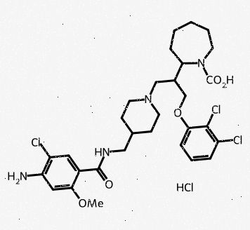 COc1cc(N)c(Cl)cc1C(=O)NCC1CCN(CC(COc2cccc(Cl)c2Cl)C2CCCCCN2C(=O)O)CC1.Cl